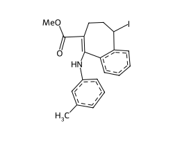 COC(=O)C1=C(Nc2cccc(C)c2)c2ccccc2C(I)CC1